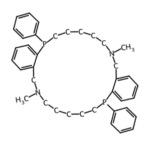 CN1CCCCCP(c2ccccc2)c2ccccc2CN(C)CCCCCP(c2ccccc2)c2ccccc2C1